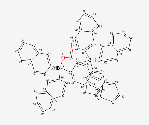 O=C([O][BiH]([c]1ccc2ccccc2c1)([c]1ccc2ccccc2c1)[c]1ccc2ccccc2c1)[O][BiH]([c]1ccc2ccccc2c1)([c]1ccc2ccccc2c1)[c]1ccc2ccccc2c1